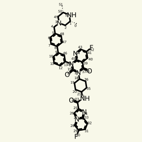 C[C@@H]1CN(Cc2ccc(-c3cccc(-n4c(=O)n(C5CCC(NC(=O)c6cn7cc(F)ccc7n6)CC5)c(=O)c5cc(F)cnc54)c3)cc2)C[C@H](C)N1